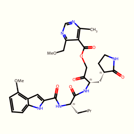 COCc1ncnc(C)c1C(=O)OCC(=O)[C@H](C[C@@H]1CCNC1=O)NC(=O)[C@H](CC(C)C)NC(=O)c1cc2c(OC)cccc2[nH]1